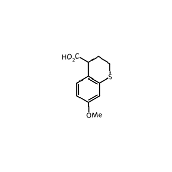 COc1ccc2c(c1)SCCC2C(=O)O